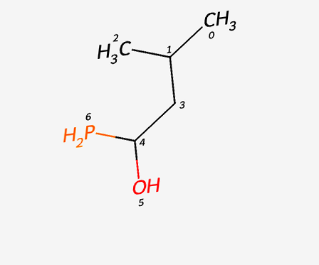 CC(C)CC(O)P